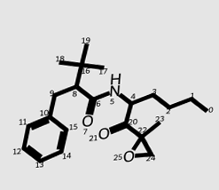 CCCCC(NC(=O)C(Cc1ccccc1)C(C)(C)C)C(=O)C1(C)CO1